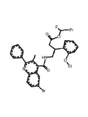 CCCC(F)OC(=O)CC(CNC(=O)c1c(C)c(-c2ccccc2)nc2ccc(Br)cc12)c1ccccc1OCC